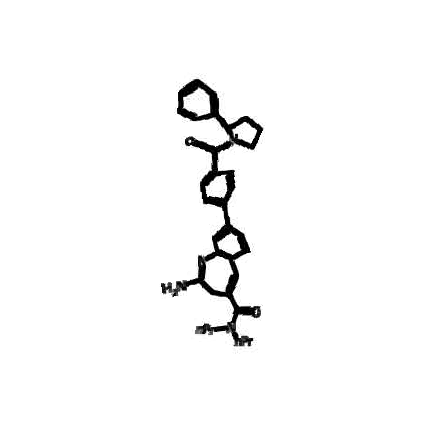 CCCN(CCC)C(=O)C1=Cc2ccc(-c3ccc(C(=O)N4CCCC4c4ccccc4)cc3)cc2N=C(N)C1